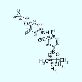 CC1(C)OB(c2ccc(F)c(C(=O)Nc3ccc(OCC4CC4)c(F)c3)c2)OC1(C)C